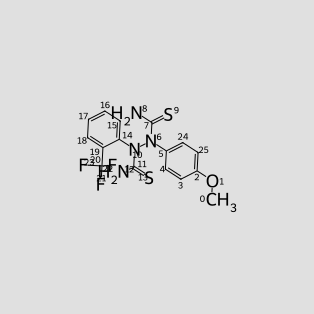 COc1ccc(N(C(N)=S)N(C(N)=S)c2ccccc2C(F)(F)F)cc1